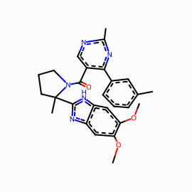 COc1cc2nc(C3(C)CCCN3C(=O)c3cnc(C)nc3-c3cccc(C)c3)[nH]c2cc1OC